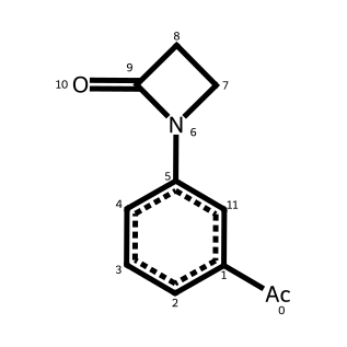 CC(=O)c1cccc(N2CCC2=O)c1